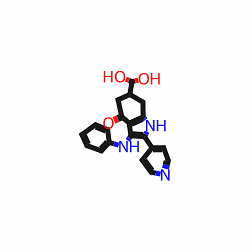 O=C1CC(C(O)O)Cc2[nH]c(-c3ccncc3)c(Nc3ccccc3)c21